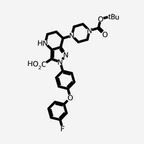 CC(C)(C)OC(=O)N1CCN(C2CCNc3c2nn(-c2ccc(Oc4cccc(F)c4)cc2)c3C(=O)O)CC1